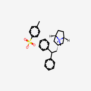 C[N+]1(C)[C@@H]2CC[C@H]1C[C@@H](CC(c1ccccc1)c1ccccc1)C2.Cc1ccc(S(=O)(=O)[O-])cc1